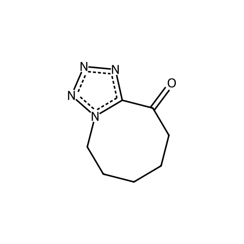 O=C1CCCCCn2nnnc21